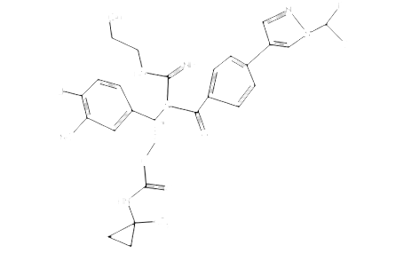 CC(C)(C)CCNC(=N)N(C(=O)c1ccc(-c2cnn(C(F)F)c2)cc1)[C@H](COC(=O)NC1(C(F)(F)F)CC1)c1ccc(Cl)c(C#N)c1